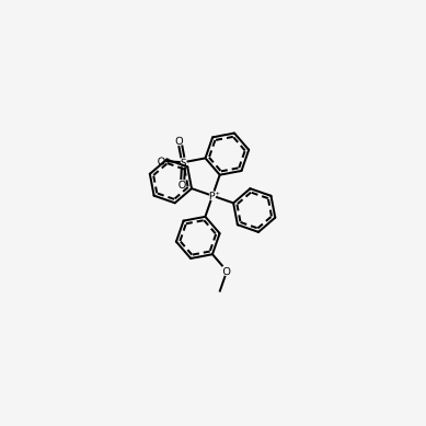 COc1cccc([P+](c2ccccc2)(c2ccccc2)c2ccccc2S(=O)(=O)[O-])c1